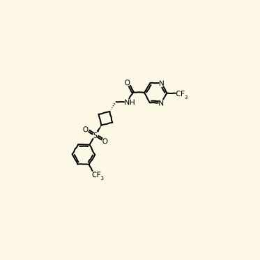 O=C(NC[C@H]1C[C@H](S(=O)(=O)c2cccc(C(F)(F)F)c2)C1)c1cnc(C(F)(F)F)nc1